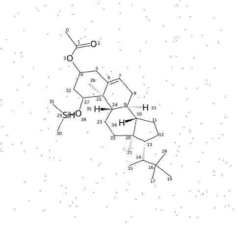 CC(=O)OC1CC2=CC[C@H]3[C@@H]4CC[C@H](C(C)C(C)(C)C)[C@@]4(C)CC[C@@H]3[C@@]2(C)C(O[SiH](C)C)C1